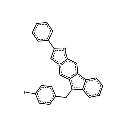 Fc1ccc(Cn2c3ccccc3c3cc4nc(-c5ccccc5)cn4cc32)cc1